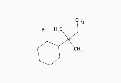 CC[N+](C)(C)C1CCCCC1.[Br-]